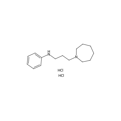 Cl.Cl.c1ccc(NCCCN2CCCCCC2)cc1